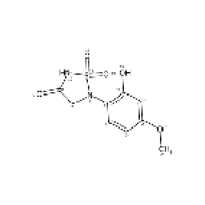 COc1ccc(N2CC(=O)NS2(=O)=O)c(O)c1